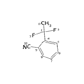 CC(F)(F)c1ccccc1C#N